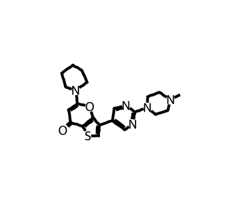 CN1CCN(c2ncc(-c3csc4c(=O)cc(N5CCCCC5)oc34)cn2)CC1